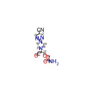 N#Cc1cnc(N2CCN(C(=C=O)COOC(N)=O)CC2)nc1